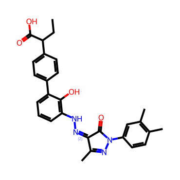 CCC(C(=O)O)c1ccc(-c2cccc(N/N=C3\C(=O)N(c4ccc(C)c(C)c4)N=C3C)c2O)cc1